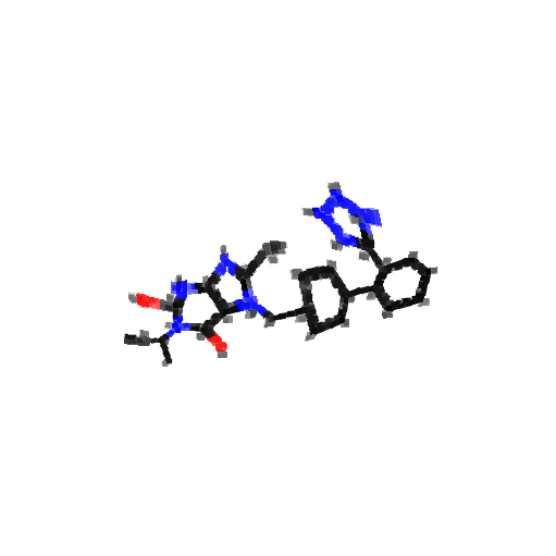 CCCc1nc2[nH]c(=O)n(C(C)OC)c(=O)c2n1Cc1ccc(-c2ccccc2-c2nnn[nH]2)cc1